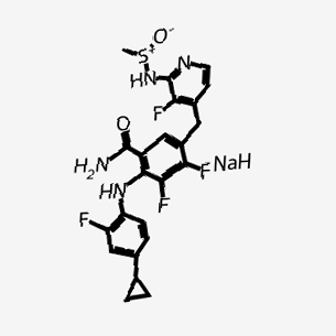 C[S+]([O-])Nc1nccc(Cc2cc(C(N)=O)c(Nc3ccc(C4CC4)cc3F)c(F)c2F)c1F.[NaH]